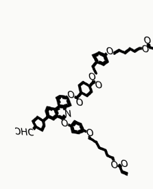 C=CC(=O)OCCCCCCOc1ccc(CCOC(=O)C2CCC(C(=O)Oc3ccc4c(c3)nc(Oc3ccc(OCCCCCCOC(=O)C=C)cc3)c3cc(C5CCC(C=O)CC5)ccc34)CC2)cc1